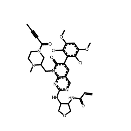 C=CC(=O)NC1COCC1Nc1ncc2cc(-c3c(Cl)c(OC)cc(OC)c3Cl)c(=O)n(CC3CN(C(=O)C#CC)CCN3C)c2n1